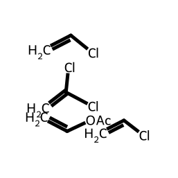 C=C(Cl)Cl.C=CCl.C=CCl.C=COC(C)=O